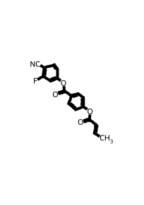 C/C=C/C(=O)Oc1ccc(C(=O)Oc2ccc(C#N)c(F)c2)cc1